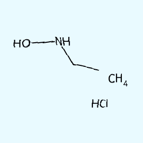 C.CCNO.Cl